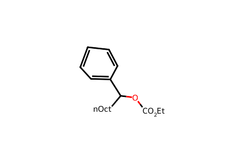 CCCCCCCCC(OC(=O)OCC)c1ccccc1